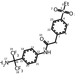 CCS(=O)(=O)c1ccc(CC(=O)Nc2ccc(C(N)(C(F)(F)F)C(F)(F)F)cc2)cc1